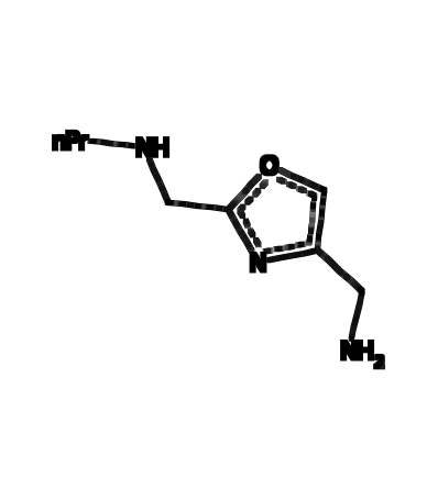 CCCNCc1nc(CN)co1